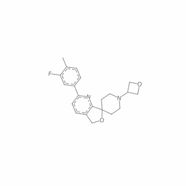 Cc1ccc(-c2ccc3c(n2)C2(CCN(C4COC4)CC2)OC3)cc1F